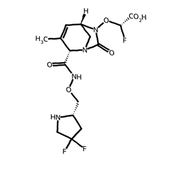 CC1=C[C@H]2CN(C(=O)N2O[C@@H](F)C(=O)O)[C@@H]1C(=O)NOC[C@@H]1CC(F)(F)CN1